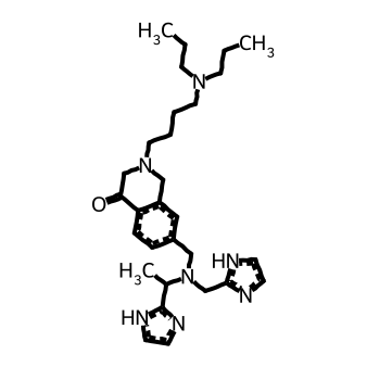 CCCN(CCC)CCCCN1CC(=O)c2ccc(CN(Cc3ncc[nH]3)C(C)c3ncc[nH]3)cc2C1